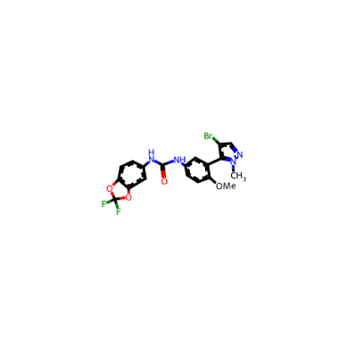 COc1ccc(NC(=O)Nc2ccc3c(c2)OC(F)(F)O3)cc1-c1c(Br)cnn1C